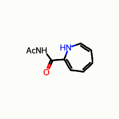 CC(=O)NC(=O)C1=CC=CC=CN1